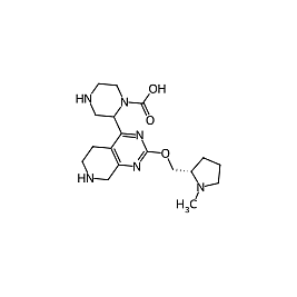 CN1CCC[C@H]1COc1nc2c(c(C3CNCCN3C(=O)O)n1)CCNC2